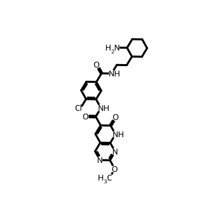 COc1ncc2cc(C(=O)Nc3cc(C(=O)NCCC4CCCCC4N)ccc3Cl)c(=O)[nH]c2n1